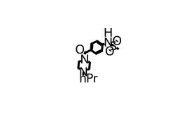 CCCN1CCN(C(=O)c2ccc(NS(C)(=O)=O)cc2)CC1